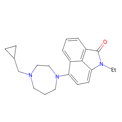 CCN1C(=O)c2cccc3c(N4CCCN(CC5CC5)CC4)ccc1c23